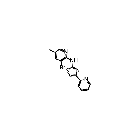 Cc1cnc(Nc2nc(-c3ccccn3)cs2)c(Br)c1